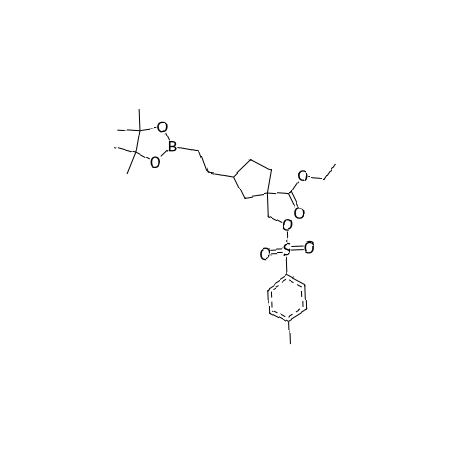 CCOC(=O)C1(COS(=O)(=O)c2ccc(C)cc2)CCC(CCB2OC(C)(C)C(C)(C)O2)C1